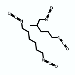 CC(CCCN=C=O)CN=C=O.O=C=NCCCCCCN=C=O